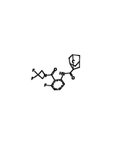 O=C(c1c(F)cccc1NC(=O)C12CC3CC(CC1C3)C2)N1CC(F)(F)C1